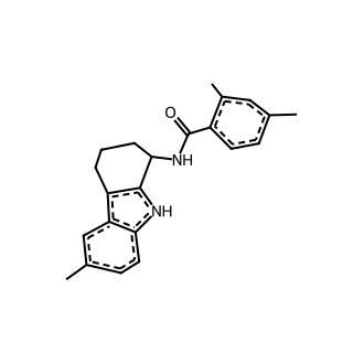 Cc1ccc(C(=O)NC2CCCc3c2[nH]c2ccc(C)cc32)c(C)c1